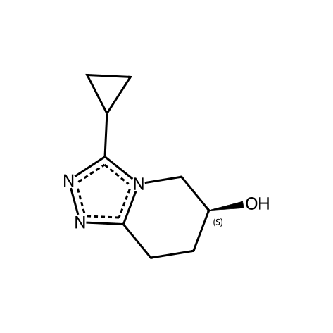 O[C@H]1CCc2nnc(C3CC3)n2C1